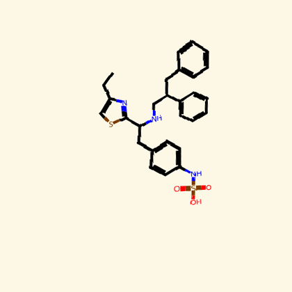 CCc1csc(C(Cc2ccc(NS(=O)(=O)O)cc2)NCC(Cc2ccccc2)c2ccccc2)n1